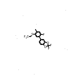 Cc1cc(F)c(-c2ccc3c(c2)OC(F)(F)O3)cc1SCC(F)(F)F